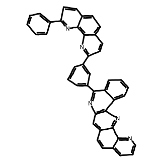 c1ccc(-c2ccc3ccc4ccc(-c5cccc(-c6nc7cc8ccc9cccnc9c8nc7c7ccccc67)c5)nc4c3n2)cc1